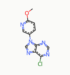 COc1ccc(-n2cnc3c(Cl)ncnc32)cn1